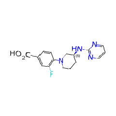 O=C(O)c1ccc(N2CCC[C@H](Nc3ncccn3)C2)c(F)c1